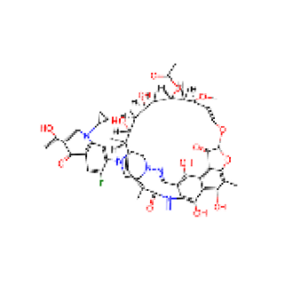 C=C(O)c1cn(C2CC2)c2cc(N3CCN(/N=C/c4c5c(O)c6c(O)c(C)c7c(c6c4O)C(=O)[C@@](C)(O/C=C/[C@H](OC)[C@@H](C)[C@@H](OC(C)=O)[C@H](C)[C@H](O)[C@H](C)[C@@H](O)[C@@H](C)/C=C/C=C(/C)C(=O)N5)O7)CC3)c(F)cc2c1=O